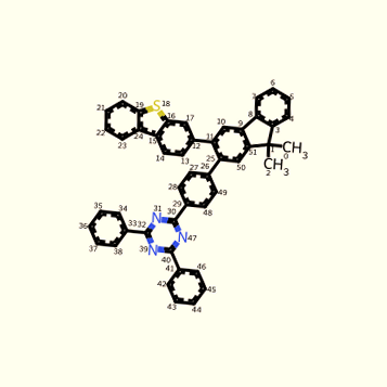 CC1(C)c2ccccc2-c2cc(-c3ccc4c(c3)sc3ccccc34)c(-c3ccc(-c4nc(-c5ccccc5)nc(-c5ccccc5)n4)cc3)cc21